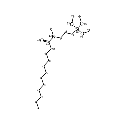 CCCCCCCCCCCC(=O)N(C)CCC[Si](OC)(OC)OC